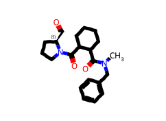 CN(Cc1ccccc1)C(=O)C1CCCCC1C(=O)N1CCC[C@H]1C=O